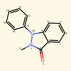 Cn1c(=O)c2ccccc2n1-c1ccccc1